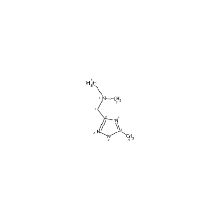 CC1=NC(CN(C)C)=N[N]1